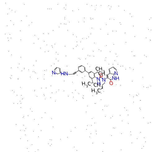 CCCCN(C(=O)Nc1c(C(C)C)cc(-c2cccc(C#CCNCc3cccnc3)c2)cc1C(C)C)c1cc2cccnc2[nH]c1=O